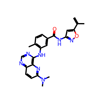 C=C(C)c1cc(NC(=O)c2ccc(C)c(Nc3ncnc4ccc(N(C)C)nc34)c2)no1